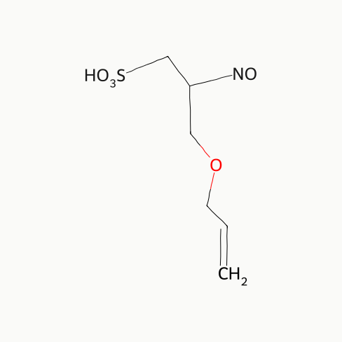 C=CCOCC(CS(=O)(=O)O)N=O